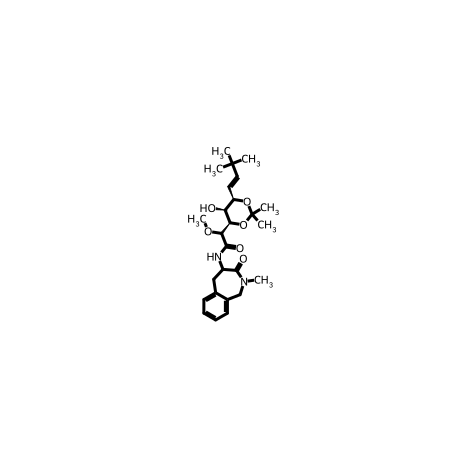 COC(C(=O)NC1Cc2ccccc2CN(C)C1=O)[C@@H]1OC(C)(C)O[C@H](C=CC(C)(C)C)[C@@H]1O